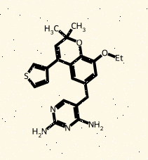 CCOc1cc(Cc2cnc(N)nc2N)cc2c1OC(C)(C)C=C2c1ccsc1